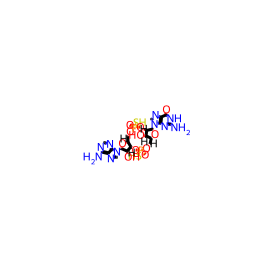 Nc1nc2c(ncn2[C@@H]2O[C@@H]3CO[P@@](=O)(S)O[C@H]4[C@@H](O)[C@H](n5cnc6c(N)ncnc65)O[C@@H]4CO[P@@](=O)(S)O[C@@H]2[C@@H]3O)c(=O)[nH]1